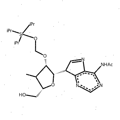 CC(=O)Nc1ncnc2c1N=CC2[C@@H]1O[C@H](CO)C(C)[C@@H]1OCO[Si](C(C)C)(C(C)C)C(C)C